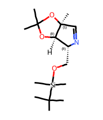 CC1(C)O[C@@H]2[C@@H](CO[Si](C)(C)C(C)(C)C)N=C[C@]2(C)O1